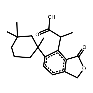 CC(C(=O)O)c1c(C2(C)CCCC(C)(C)C2)ccc2c1C(=O)OC2